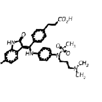 CN(C)CCCN(c1ccc(NC(=C2C(=O)Nc3cc(F)ccc32)c2ccc(CCC(=O)O)cc2)cc1)S(C)(=O)=O